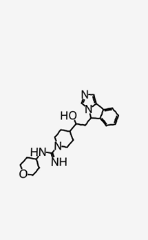 N=C(NC1CCOCC1)N1CCC(C(O)CC2c3ccccc3-c3cncn32)CC1